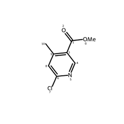 COC(=O)c1cnc(Cl)cc1C